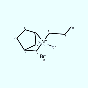 CCC[N@@+]1(C)CC2CCC1C2.[Br-]